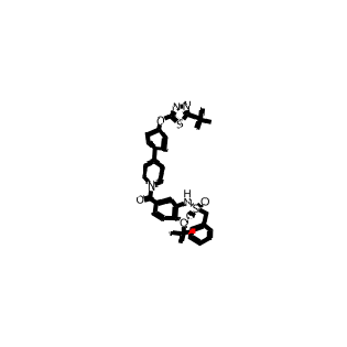 CC(C)(C)Oc1ccc(C(=O)N2CCC(c3ccc(Oc4nnc(C(C)(C)C)s4)cc3)CC2)cc1NS(=O)(=O)Cc1ccccc1